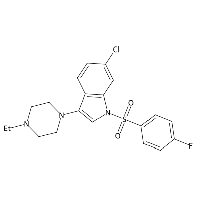 CCN1CCN(c2cn(S(=O)(=O)c3ccc(F)cc3)c3cc(Cl)ccc23)CC1